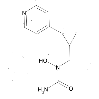 NC(=O)N(O)CC1CC1c1ccncc1